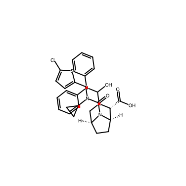 O=C(O)[C@@H]1[C@H]2CC[C@@H](CN1C(O)N(c1ccccc1)c1ccccc1)N2C(=O)N(Cc1ccc(Cl)s1)C1CC1